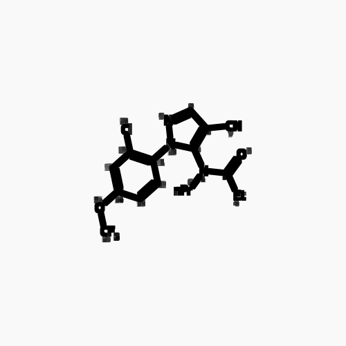 CCCN(C(=O)CC)c1c(C#N)cnn1-c1ccc(OC(F)(F)F)cc1Cl